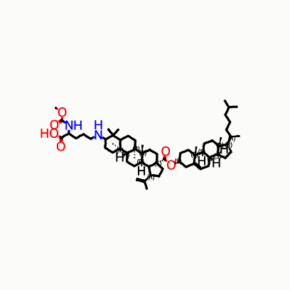 C=C(C)[C@@H]1CC[C@]2(C(=O)O[C@H]3CC[C@@]4(C)C(=CC[C@H]5[C@@H]6CC[C@H]([C@H](C)CCCC(C)C)[C@@]6(C)CC[C@@H]54)C3)CC[C@]3(C)[C@H](CC[C@@H]4[C@@]5(C)CCC(NCCCC(NC(=O)OC)C(=O)O)C(C)(C)C5CC[C@]43C)C12